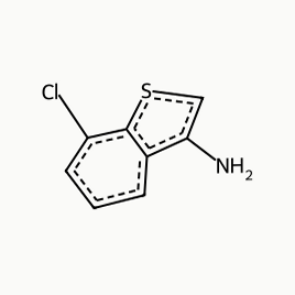 Nc1csc2c(Cl)cccc12